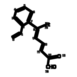 C=Cc1ccccc1C(=CC=CC(=O)C=O)CC